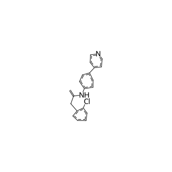 C=C(Cc1ccccc1Cl)Nc1ccc(-c2ccncc2)cc1